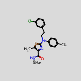 CSNC(=O)c1nc(N(CCc2cccc(Cl)c2)c2ccc(C#N)cc2)sc1C